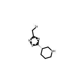 [2H]Cc1nsc([C@H]2CCCNC2)n1